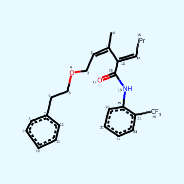 CC(=C/COCCc1ccccc1)/C(=C\C(C)C)C(=O)Nc1ccccc1C(F)(F)F